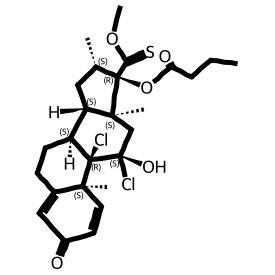 CCCC(=O)O[C@]1(C(=S)OC)[C@@H](C)C[C@H]2[C@@H]3CCC4=CC(=O)C=C[C@]4(C)[C@@]3(Cl)[C@@](O)(Cl)C[C@@]21C